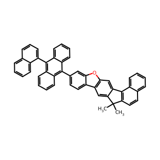 CC1(C)c2cc3c(cc2-c2c1ccc1ccccc21)oc1cc(-c2c4ccccc4c(-c4cccc5ccccc45)c4ccccc24)ccc13